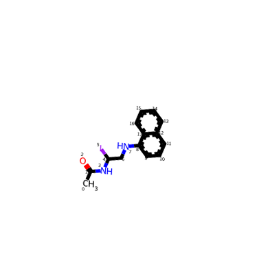 CC(=O)NC(I)CNc1cccc2ccccc12